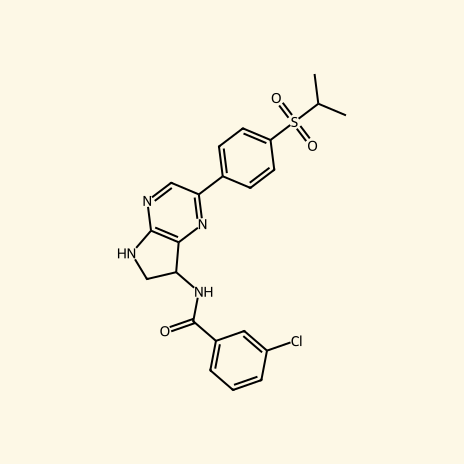 CC(C)S(=O)(=O)c1ccc(-c2cnc3c(n2)C(NC(=O)c2cccc(Cl)c2)CN3)cc1